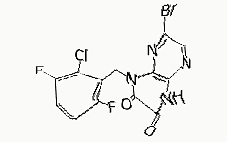 O=c1[nH]c2ncc(Br)nc2n(Cc2c(F)ccc(F)c2Cl)c1=O